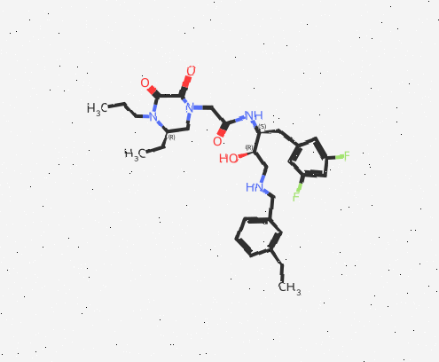 CCCN1C(=O)C(=O)N(CC(=O)N[C@@H](Cc2cc(F)cc(F)c2)[C@H](O)CNCc2cccc(CC)c2)C[C@H]1CC